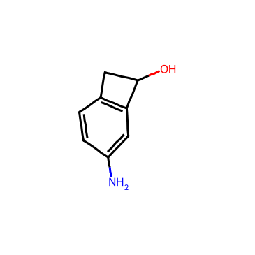 Nc1ccc2c(c1)C(O)C2